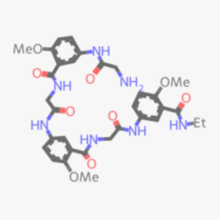 CCNC(=O)c1cc(NC(=O)CNC(=O)c2cc(NC(=O)CNC(=O)c3cc(NC(=O)CN)ccc3OC)ccc2OC)ccc1OC